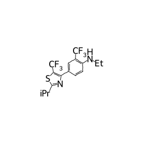 CCNc1ccc(-c2nc(C(C)C)sc2C(F)(F)F)cc1C(F)(F)F